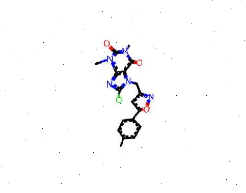 Cc1ccc(-c2cc(Cn3c(Cl)nc4c3c(=O)n(C)c(=O)n4C)no2)cc1